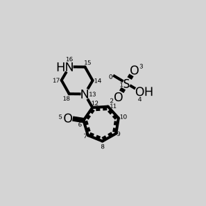 CS(=O)(=O)O.O=c1cccccc1N1CCNCC1